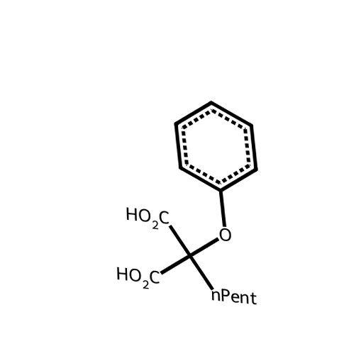 CCCCCC(Oc1ccccc1)(C(=O)O)C(=O)O